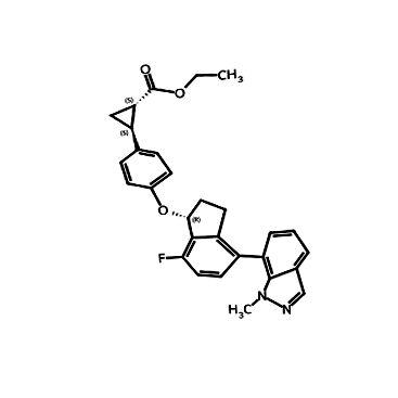 CCOC(=O)[C@H]1C[C@@H]1c1ccc(O[C@@H]2CCc3c(-c4cccc5cnn(C)c45)ccc(F)c32)cc1